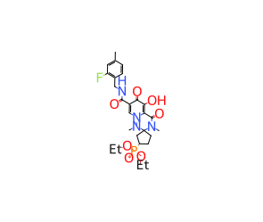 CCOP(=O)(OCC)[C@H]1CCC2(C1)N(C)C(=O)c1c(O)c(=O)c(C(=O)NCc3ccc(C)cc3F)cn1N2C